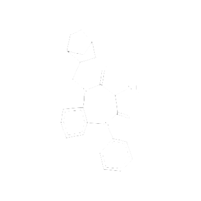 NC1C(=O)N(CC2CC3CCC2C3)c2ccccc2N(c2ccccc2)C1=O